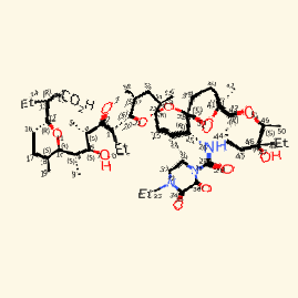 CCC(C(=O)[C@@H](C)[C@@H](O)[C@H](C)[C@@H]1O[C@@H]([C@@H](CC)C(=O)O)CC[C@@H]1C)[C@H]1O[C@]2(C=C[C@@H](NC(=O)N3CCN(CC)C(=O)C3=O)[C@]3(CC[C@@](C)([C@H]4CC[C@](O)(CC)[C@H](C)O4)O3)O2)[C@H](C)C[C@@H]1C